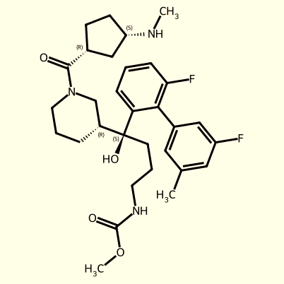 CN[C@H]1CC[C@@H](C(=O)N2CCC[C@@H]([C@@](O)(CCCNC(=O)OC)c3cccc(F)c3-c3cc(C)cc(F)c3)C2)C1